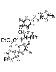 CCOC(=O)C[C@H](NC(=O)C(CC(C)C)n1cc(CCN2CC[C@@H](F)C2)cc(F)c1=O)c1cc(-c2c(C)cc(F)cc2C)cc(C)c1F